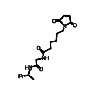 CC(C)C(C)NC(=O)CNC(=O)CCCCCN1C(=O)C=CC1=O